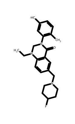 [CH]c1ccc(C)c(N2CN(CC)c3ccc(CN4CCC(F)CC4)cc3C2=O)c1